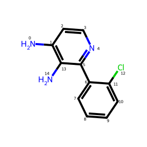 Nc1ccnc(-c2ccccc2Cl)c1N